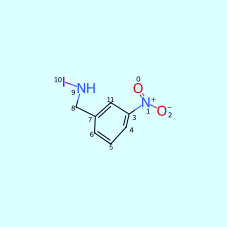 O=[N+]([O-])c1cccc(CNI)c1